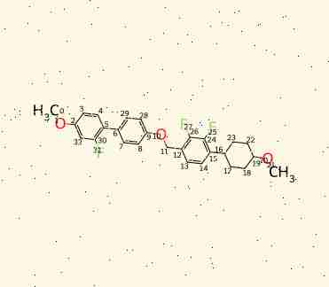 COc1ccc(-c2ccc(OCc3ccc(C4CCC(OC)CC4)c(F)c3F)cc2)c(F)c1